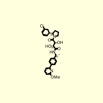 COc1cccc(-c2ccc([C@@H](C)NC(=O)[C@H](O)[C@@H](O)C(=O)N3CCC[C@@H]3C3C=CC=C(Cl)C3)cc2)n1